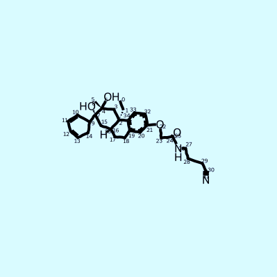 CC[C@@]12C[C@@](C)(O)[C@](O)(C3C=CC=CC3)C[C@H]1CCc1cc(OCC(=O)NCCCC#N)ccc12